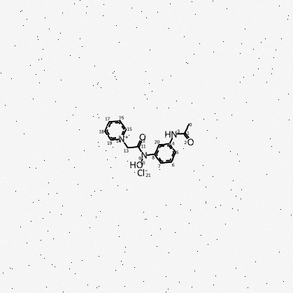 CC(=O)Nc1cccc(N(O)C(=O)C[n+]2ccccc2)c1.[Cl-]